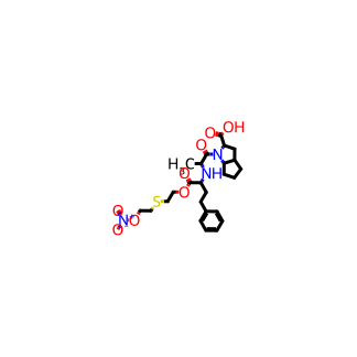 CC(NC(CCc1ccccc1)C(=O)OCCSCCO[N+](=O)[O-])C(=O)N1C(C(=O)O)CC2CCCC21